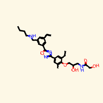 CCCCNCc1cc(CC)cc(-c2nc(-c3cc(C)c(OCC(O)CNC(=O)CO)c(CC)c3)no2)c1